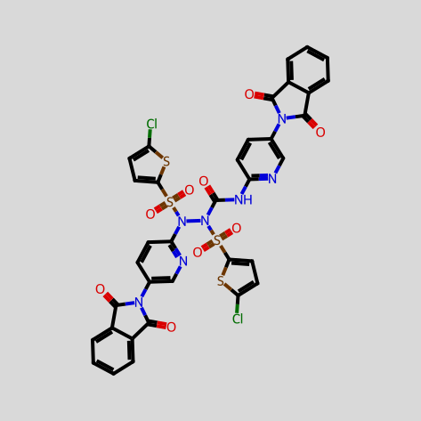 O=C1c2ccccc2C(=O)N1c1ccc(NC(=O)N(N(c2ccc(N3C(=O)c4ccccc4C3=O)cn2)S(=O)(=O)c2ccc(Cl)s2)S(=O)(=O)c2ccc(Cl)s2)nc1